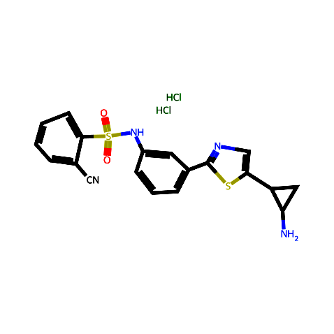 Cl.Cl.N#Cc1ccccc1S(=O)(=O)Nc1cccc(-c2ncc(C3CC3N)s2)c1